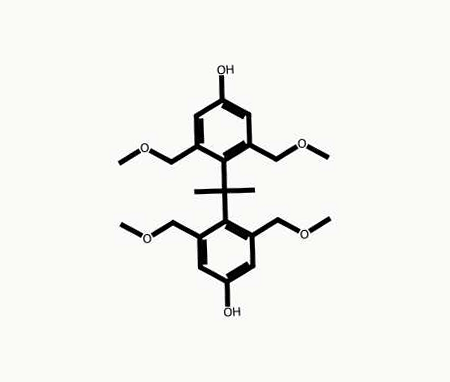 COCc1cc(O)cc(COC)c1C(C)(C)c1c(COC)cc(O)cc1COC